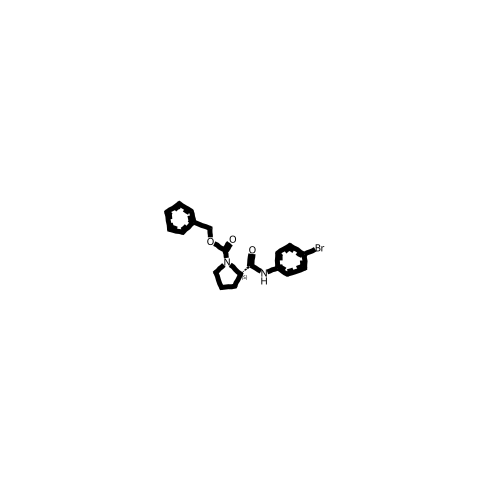 O=C(Nc1ccc(Br)cc1)[C@@H]1CCCN1C(=O)OCc1ccccc1